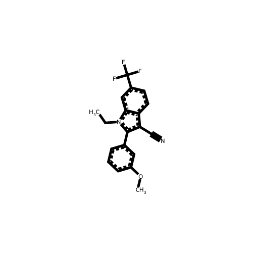 CCn1c(-c2cccc(OC)c2)c(C#N)c2ccc(C(F)(F)F)cc21